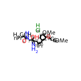 CCCC(C)(C)C(=O)NC[C@H](O)[C@@H](N)C[C@H](Cc1ccc(OC)c(OCCCOC)c1)C(C)C.Cl